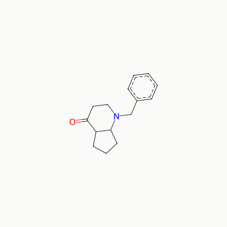 O=C1CCN(Cc2ccccc2)C2CCCC12